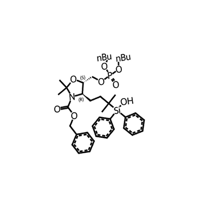 CCCCOP(=O)(OCCCC)OC[C@H]1OC(C)(C)N(C(=O)OCc2ccccc2)[C@@H]1CCC(C)(C)[Si](O)(c1ccccc1)c1ccccc1